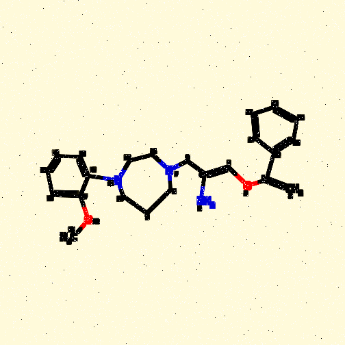 C=C(O/C=C(\N)CN1CCCN(c2ccccc2OC)CC1)c1ccccc1